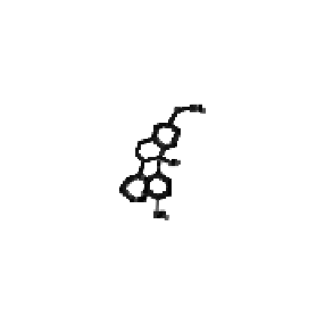 CCCC1(c2ccc([N+](=O)[O-])cc2)c2ccc(O[SiH3])cc2CCC1c1ccccc1